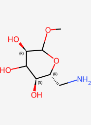 COC1O[C@H](CN)[C@@H](O)C(O)[C@H]1O